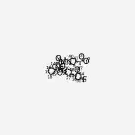 COC(=O)Cc1ccc(CNC(=O)[C@@H]2Cc3ccccc3N2S(=O)(=O)c2ccc(-c3ccc(F)cc3OC)cc2)cc1